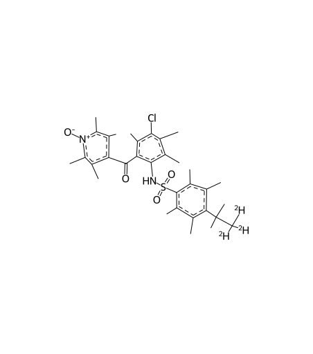 [2H]C([2H])([2H])C(C)(C)c1c(C)c(C)c(S(=O)(=O)Nc2c(C)c(C)c(Cl)c(C)c2C(=O)c2c(C)c(C)[n+]([O-])c(C)c2C)c(C)c1C